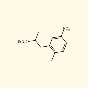 CCOC(=O)C(C)Cc1cc([N+](=O)[O-])ccc1C